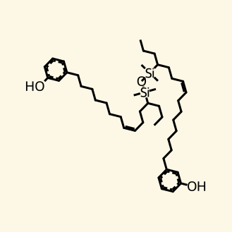 CCCC(CC/C=C\CCCCCCCc1cccc(O)c1)[Si](C)(C)O[Si](C)(C)C(CCC)CC/C=C\CCCCCCCc1cccc(O)c1